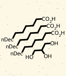 CCCCCCCCCCCCCCCC(=O)O.CCCCCCCCCCCCCCCC(=O)O.CCCCCCCCCCCCCCCC(=O)O.OCC(O)CO